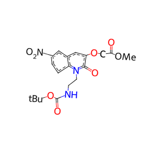 COC(=O)COc1cc2cc([N+](=O)[O-])ccc2n(CCNC(=O)OC(C)(C)C)c1=O